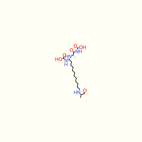 CC(C=O)NCCCCCCCCCCCC(NC(=O)O)N[C@@H](C)C(=O)NC(=O)O